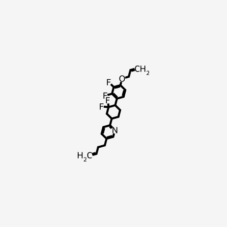 C=CCCc1ccc(C2CCC(c3ccc(OCC=C)c(F)c3F)C(F)(F)C2)nc1